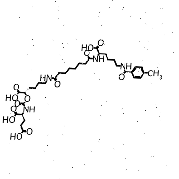 Cc1ccc(C(=O)NCCCCC(NC(=O)CCCCCCC(=O)NCCCC[C@H](OC(=O)N[C@@H](CCC(=O)O)C(=O)O)C(=O)O)C(=O)O)cc1